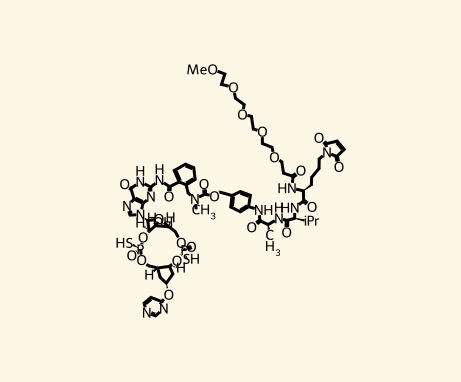 COCCOCCOCCOCCOCCC(=O)N[C@@H](CCCCN1C(=O)C=CC1=O)C(=O)N[C@H](C(=O)N[C@@H](C)C(=O)Nc1ccc(COC(=O)N(C)Cc2ccccc2C(=O)Nc2nc3c(ncn3[C@@H]3O[C@H]4CO[P@@](=O)(S)O[C@H]5C[C@H](Oc6ccncn6)C[C@@H]5CO[P@@](=O)(S)O[C@@H]3[C@@H]4O)c(=O)[nH]2)cc1)C(C)C